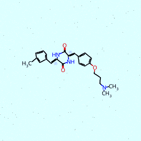 Cc1cccc(/C=c2\[nH]c(=O)/c(=C/c3ccc(OCCCN(C)C)cc3)[nH]c2=O)c1